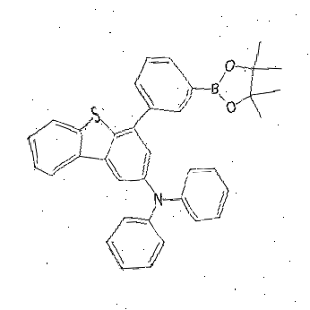 CC1(C)OB(c2cccc(-c3cc(N(c4ccccc4)c4ccccc4)cc4c3sc3ccccc34)c2)OC1(C)C